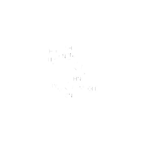 C=C(C)n1cc(-c2ccc(C[C@@H](CCO)NC(=O)c3ccc(OC(C)C)c(C#N)c3)cc2)nc1C